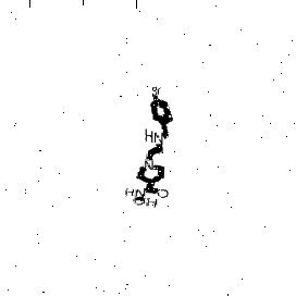 O=C(NO)C1CCN(CCNCc2ccc(Br)cc2)CC1